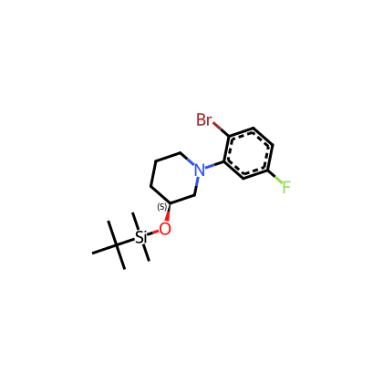 CC(C)(C)[Si](C)(C)O[C@H]1CCCN(c2cc(F)ccc2Br)C1